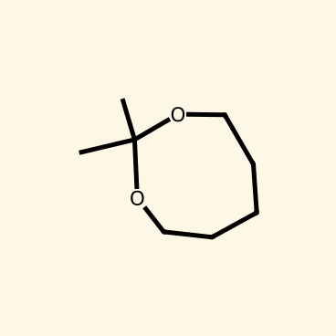 CC1(C)OCCCCCO1